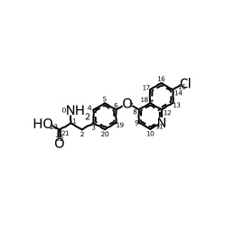 NC(Cc1ccc(Oc2ccnc3cc(Cl)ccc23)cc1)C(=O)O